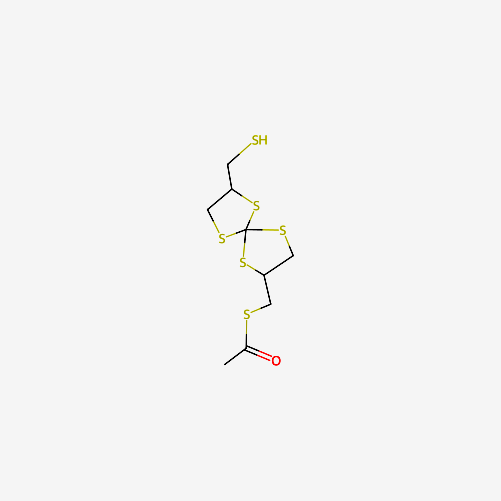 CC(=O)SCC1CSC2(SCC(CS)S2)S1